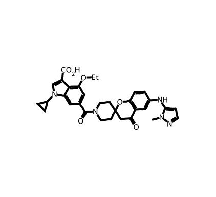 CCOc1cc(C(=O)N2CCC3(CC2)CC(=O)c2cc(Nc4ccnn4C)ccc2O3)cc2c1c(C(=O)O)cn2C1CC1